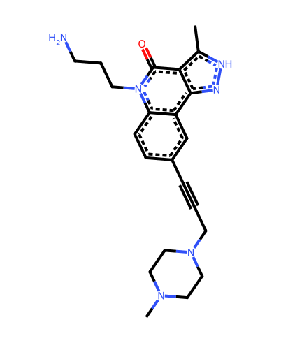 Cc1[nH]nc2c1c(=O)n(CCCN)c1ccc(C#CCN3CCN(C)CC3)cc21